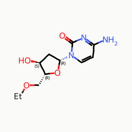 CCOC[C@H]1O[C@@H](n2ccc(N)nc2=O)C[C@@H]1O